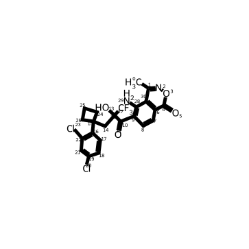 Cc1noc(=O)c2ccc(C(=O)C(O)(CC3(c4ccc(Cl)cc4Cl)CCC3)C(F)(F)F)c(N)c12